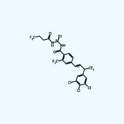 CC[C@H](NC(=O)CCC(F)(F)F)NC(=O)c1ccc(/C=C/C(c2cc(Cl)c(Cl)c(Cl)c2)C(F)(F)F)cc1C(F)(F)F